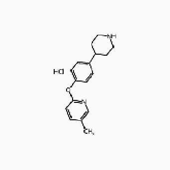 Cc1ccc(Oc2ccc(C3CCNCC3)cc2)nc1.Cl